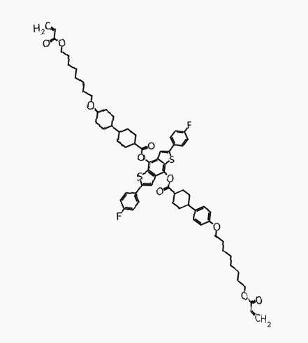 C=CC(=O)OCCCCCCCCOc1ccc(C2CCC(C(=O)Oc3c4cc(-c5ccc(F)cc5)sc4c(OC(=O)C4CCC(C5CCC(OCCCCCCCCOC(=O)C=C)CC5)CC4)c4cc(-c5ccc(F)cc5)sc34)CC2)cc1